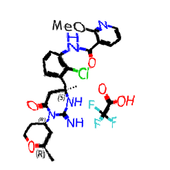 COc1ncccc1C(=O)Nc1cccc([C@]2(C)CC(=O)N([C@@H]3CCO[C@H](C)C3)C(=N)N2)c1Cl.O=C(O)C(F)(F)F